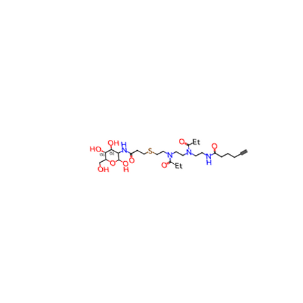 C#CCCCC(=O)NCCN(CCN(CCSCCC(=O)NC1C(O)OC(CO)[C@@H](O)[C@H]1O)C(=O)CC)C(=O)CC